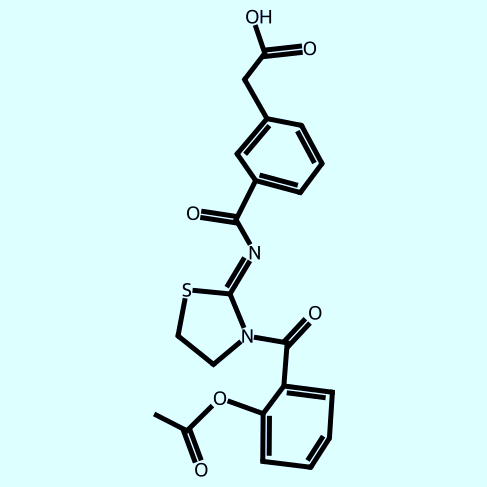 CC(=O)Oc1ccccc1C(=O)N1CCSC1=NC(=O)c1cccc(CC(=O)O)c1